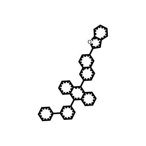 c1ccc(-c2cccc(-c3c4ccccc4c(-c4ccc5cc(-c6cc7ccccc7o6)ccc5c4)c4ccccc34)c2)cc1